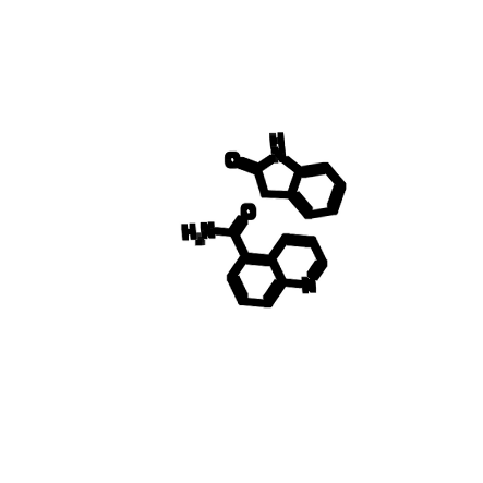 NC(=O)c1cccc2ncccc12.O=C1Cc2ccccc2N1